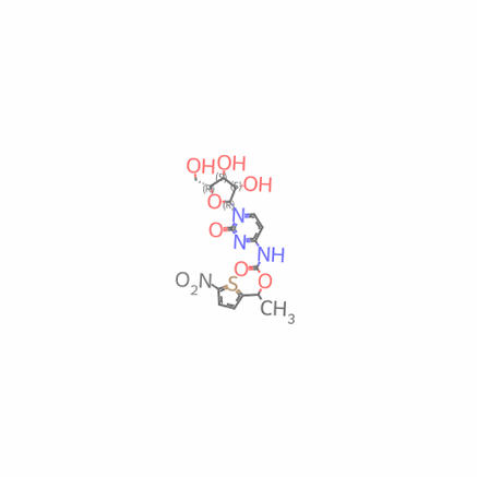 CC(OC(=O)Nc1ccn([C@@H]2O[C@H](CO)[C@@H](O)[C@@H]2O)c(=O)n1)c1ccc([N+](=O)[O-])s1